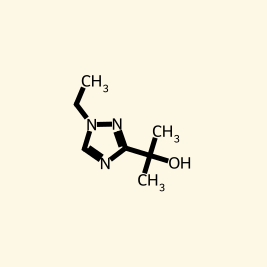 CCn1cnc(C(C)(C)O)n1